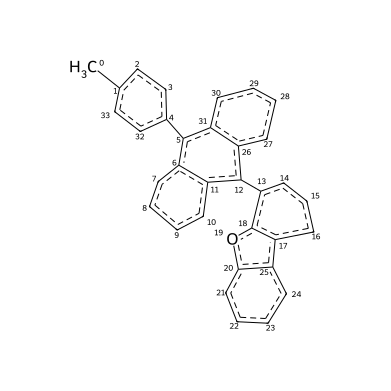 Cc1ccc(-c2c3ccccc3c(-c3cccc4c3oc3ccccc34)c3ccccc23)cc1